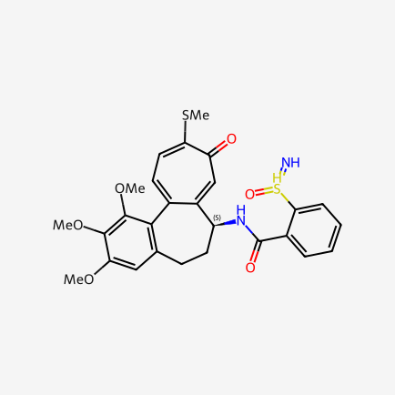 COc1cc2c(c(OC)c1OC)-c1ccc(SC)c(=O)cc1[C@@H](NC(=O)c1ccccc1[SH](=N)=O)CC2